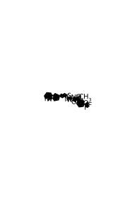 CO[C@H](C(=O)Nc1nnc(CCC[C@@H]2CCN(c3cccnn3)C2)s1)c1cccc(OC(F)F)c1